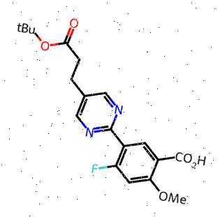 COc1cc(F)c(-c2ncc(CCC(=O)OC(C)(C)C)cn2)cc1C(=O)O